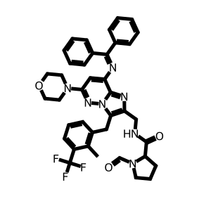 Cc1c(Cc2c(CNC(=O)C3CCCN3C=O)nc3c(N=C(c4ccccc4)c4ccccc4)cc(N4CCOCC4)nn23)cccc1C(F)(F)F